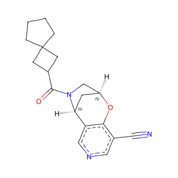 N#Cc1cncc2c1O[C@H]1C[C@@H]2N(C(=O)C2CC3(CCCC3)C2)C1